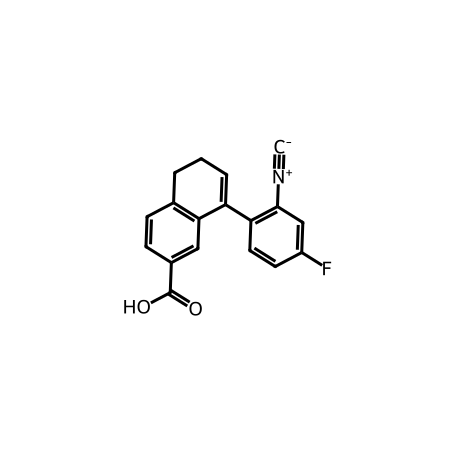 [C-]#[N+]c1cc(F)ccc1C1=CCCc2ccc(C(=O)O)cc21